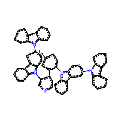 FC(F)(F)c1ccc(-n2c3ccccc3c3cc(-n4c5ccccc5c5ccccc54)ccc32)c(-c2ccncc2-n2c3ccccc3c3cc(-n4c5ccccc5c5ccccc54)ccc32)c1